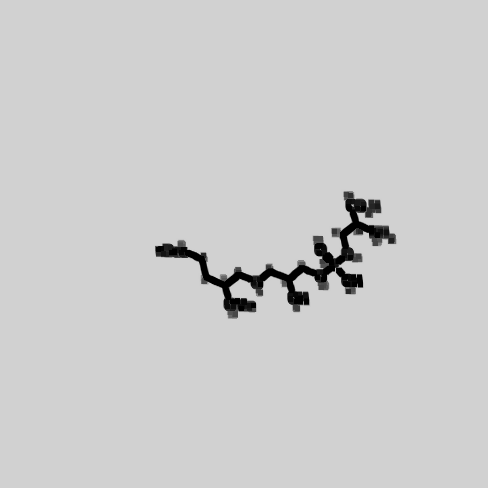 CCCCCCCCCCCCC(COCC(O)COP(=O)(O)OCC(N)C(=O)O)OC